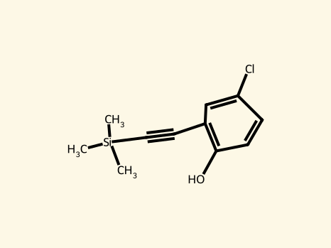 C[Si](C)(C)C#Cc1cc(Cl)ccc1O